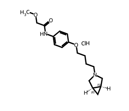 COCC(=O)Nc1ccc(OCCCCN2C[C@H]3C[C@H]3C2)cc1.Cl